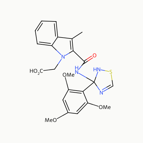 COc1cc(OC)c(C2(NC(=O)c3c(C)c4ccccc4n3CC(=O)O)N=CSN2)c(OC)c1